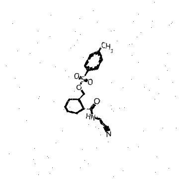 Cc1ccc(S(=O)(=O)OC[C@@H]2CCCC[C@H]2C(=O)NCC#N)cc1